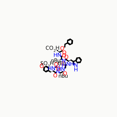 CCCC[C@H](NC(=O)[C@H](Cc1ccc(OS(=O)(=O)O)cc1)NC(=O)OC(C)(C)C)C(=O)NCC(=O)N[C@H](Cc1c[nH]c2ccccc12)C(=O)N[C@@H](CCCC)C(=O)N[C@@H](CC(=O)O)C(=O)OCCc1ccccc1